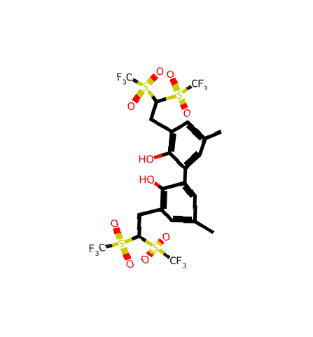 Cc1cc(CC(S(=O)(=O)C(F)(F)F)S(=O)(=O)C(F)(F)F)c(O)c(-c2cc(C)cc(CC(S(=O)(=O)C(F)(F)F)S(=O)(=O)C(F)(F)F)c2O)c1